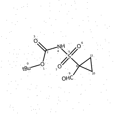 CC(C)(C)OC(=O)NS(=O)(=O)C1(C=O)CC1